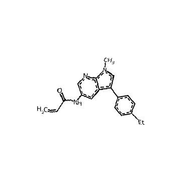 C=CC(=O)Nc1cnc2c(c1)c(-c1ccc(CC)cc1)cn2C